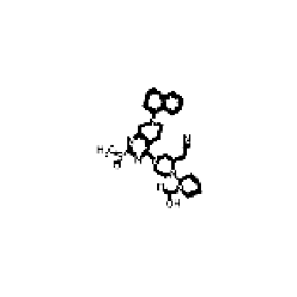 C[S+]([O-])c1nc2c(c(N3CCN([C@@H]4C=CC=CN4C(=O)O)C(CC#N)C3)n1)CCN(c1cccc3ccccc13)C2